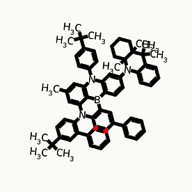 Cc1cc2c3c(c1)N(c1ccc(C(C)(C)C)cc1-c1ccccc1)c1ccc(-c4ccccc4)cc1B3c1ccc(N3c4ccccc4C(C)(C)C4(C)CCCCC34C)cc1N2c1ccc(C(C)(C)C)cc1